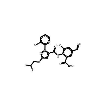 CNC(=O)c1cc(C=N)cc(C)c1NC(=O)c1cc(OCC(F)F)nn1-c1ncccc1Cl